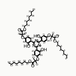 CCCCCCCCOC(=O)C(C)(C)Oc1ccc(-c2nc(-c3ccc(OC(C)(C)C(=O)OCCCCCCCC)cc3O)nc(-c3ccc(OC(C)(C)C(=O)OCCCCCCCC)cc3O)n2)c(O)c1